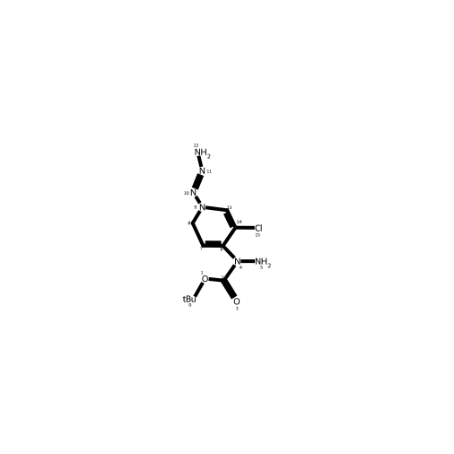 CC(C)(C)OC(=O)N(N)C1=CCN(N=NN)C=C1Cl